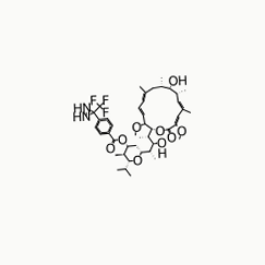 CO/C1=C\C(C)=C\[C@@H](C)[C@@H](O)[C@@H](C)C/C(C)=C/C=C/[C@H](OC)[C@@H]([C@@H](C)[C@@H](O)[C@H](C)[C@H]2C[C@@H](OC(=O)c3ccc(C4(C(F)(F)F)NN4)cc3)[C@H](C)[C@@H](C(C)C)O2)OC1=O